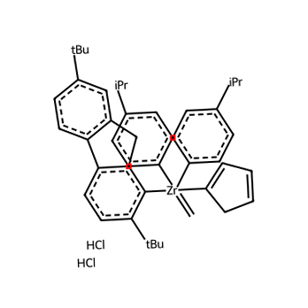 Cl.Cl.[CH2]=[Zr]([C]1=CC=CC1)([c]1ccc(C(C)C)cc1)([c]1ccc(C(C)C)cc1)[c]1c(C(C)(C)C)ccc2c1Cc1cc(C(C)(C)C)ccc1-2